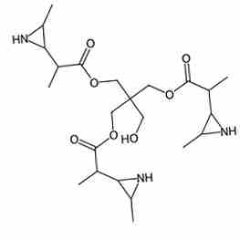 CC1NC1C(C)C(=O)OCC(CO)(COC(=O)C(C)C1NC1C)COC(=O)C(C)C1NC1C